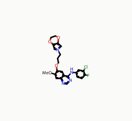 COc1cc2ncnc(Nc3ccc(F)c(Cl)c3)c2cc1OCCCn1cc2c(c1)OCCO2